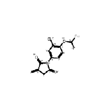 C=C1CC(=O)N(c2ccc(OC(F)F)c(Cl)c2)C1=O